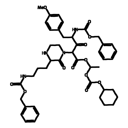 COc1ccc(CC(NC(=O)OCc2ccccc2)C(=O)C(C(=O)OC(C)OC(=O)OC2CCCCC2)N2CCNC(CCCNC(=O)OCc3ccccc3)C2=O)cc1